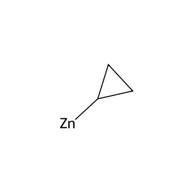 [Zn][CH]1CC1